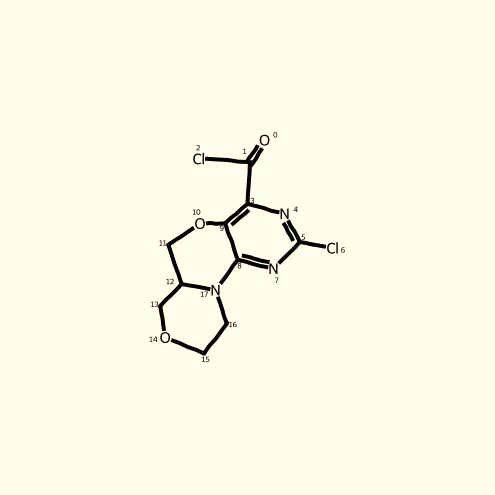 O=C(Cl)c1nc(Cl)nc2c1OCC1COCCN21